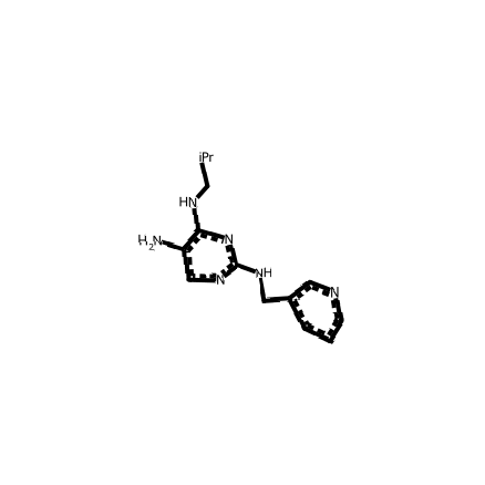 CC(C)CNc1nc(NCc2cccnc2)ncc1N